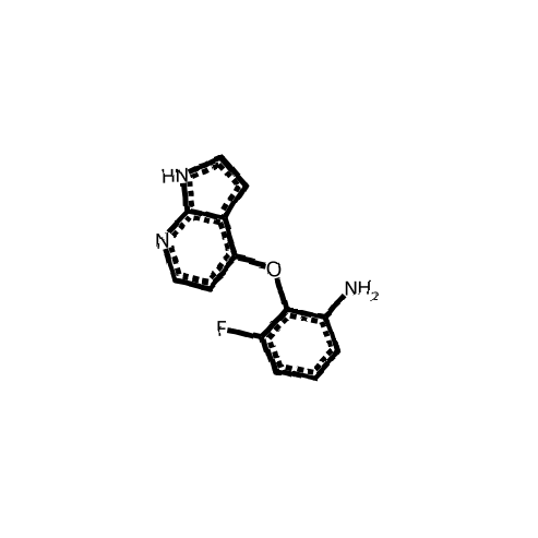 Nc1cccc(F)c1Oc1ccnc2[nH]ccc12